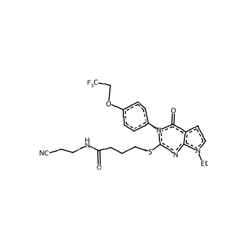 CCn1ccc2c(=O)n(-c3ccc(OCC(F)(F)F)cc3)c(SCCCC(=O)NCCC#N)nc21